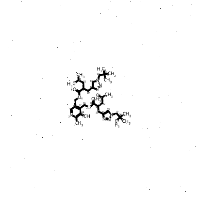 Cc1ncc(COC(=O)C(Cc2cn(CC(C)(C)C)nn2)CC(C)C)c(COC(=O)C(Cc2cn(CC(C)(C)C)nn2)CC(C)C)c1O